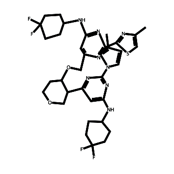 Cc1csc(-c2nc(COC3CCOCC3c3cc(NC4CCC(F)(F)CC4)nc(-n4ccc(C)n4)n3)cc(NC3CCC(F)(F)CC3)n2)n1